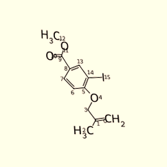 C=C(C)COc1ccc(C(=O)OC)cc1I